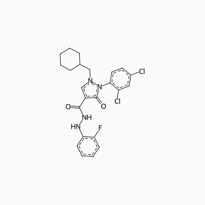 O=C(NNc1ccccc1F)c1cn(CC2CCCCC2)n(-c2ccc(Cl)cc2Cl)c1=O